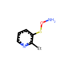 CCc1ncccc1SON